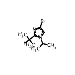 CC(C)n1cc(Br)nc1C(C)(C)I